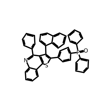 O=P(c1ccccc1)(c1ccccc1)c1ccc(-c2sc3c(c(-c4ccccc4)nc4ccccc43)c2-c2cccc3ccccc23)cc1